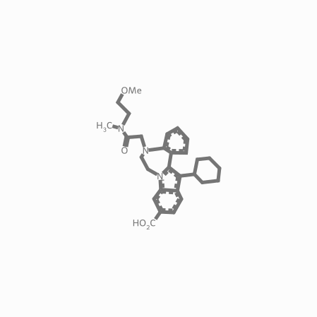 COCCN(C)C(=O)CN1CCn2c(c(C3CCCCC3)c3ccc(C(=O)O)cc32)-c2ccccc21